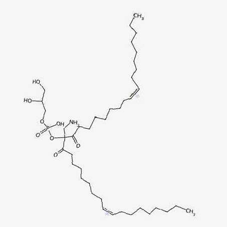 CCCCCCCC/C=C\CCCCCCCC(=O)C(CN)(OP(=O)(O)OCC(O)CO)C(=O)CCCCCCC/C=C\CCCCCCCC